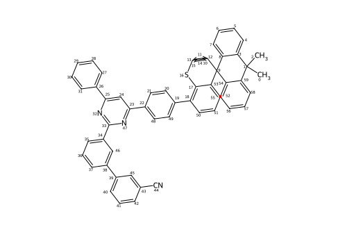 CC1(C)c2ccccc2C2(c3ccccc3Sc3c(-c4ccc(-c5cc(-c6ccccc6)nc(-c6cccc(-c7cccc(C#N)c7)c6)n5)cc4)cccc32)c2ccccc21